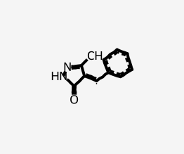 CC1=NNC(=O)C1=[C]c1ccccc1